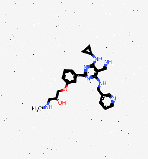 CNCC(O)COc1cccc(-c2nc(NCc3cccnc3)c(C=N)c(NC3CC3)n2)c1